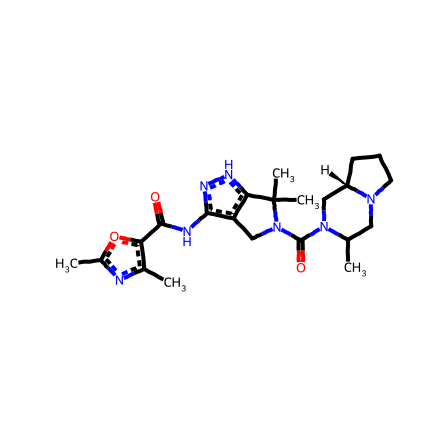 Cc1nc(C)c(C(=O)Nc2n[nH]c3c2CN(C(=O)N2C[C@@H]4CCCN4CC2C)C3(C)C)o1